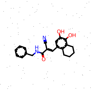 N#C/C(=C\c1cc(O)c(O)c2c1CCCC2)C(=O)NCc1ccccc1